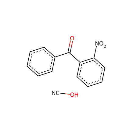 N#CO.O=C(c1ccccc1)c1ccccc1[N+](=O)[O-]